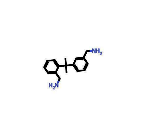 CC(C)(c1cccc(CN)c1)c1ccccc1CN